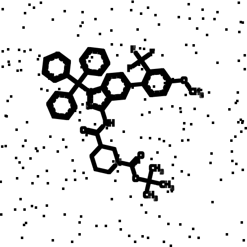 COc1ccc(-c2ccc3c(c2)c(NC(=O)C2CCCN(C(=O)OC(C)(C)C)C2)nn3C(c2ccccc2)(c2ccccc2)c2ccccc2)c(C(F)(F)F)c1